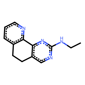 CCNc1ncc2c(n1)-c1ncccc1CC2